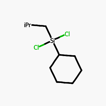 CC(C)C[Si](Cl)(Cl)C1CCCCC1